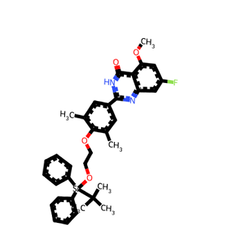 COc1cc(F)cc2nc(-c3cc(C)c(OCCO[Si](c4ccccc4)(c4ccccc4)C(C)(C)C)c(C)c3)[nH]c(=O)c12